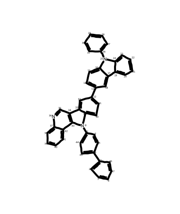 c1ccc(-c2ccc(-n3c4ccc(-c5ccc6c(c5)c5ccccc5n6-c5ccccc5)cc4c4cnc5ccccc5c43)cc2)cc1